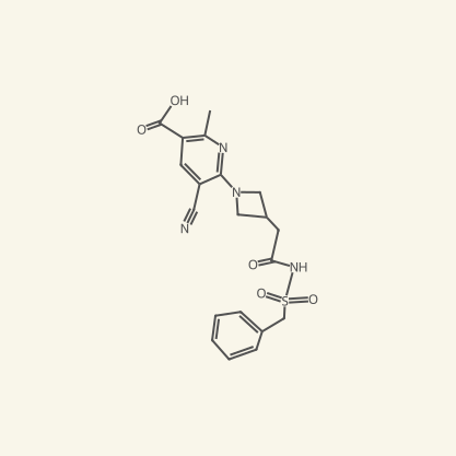 Cc1nc(N2CC(CC(=O)NS(=O)(=O)Cc3ccccc3)C2)c(C#N)cc1C(=O)O